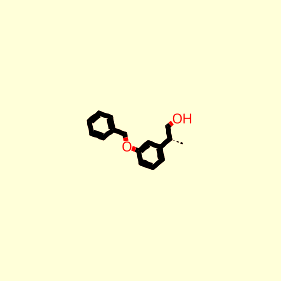 C[C@@H](CO)c1cccc(OCc2ccccc2)c1